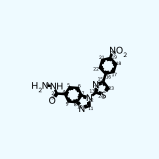 NNC(=O)c1ccc2c(c1)ncn2-c1nc(-c2ccc([N+](=O)[O-])cc2)cs1